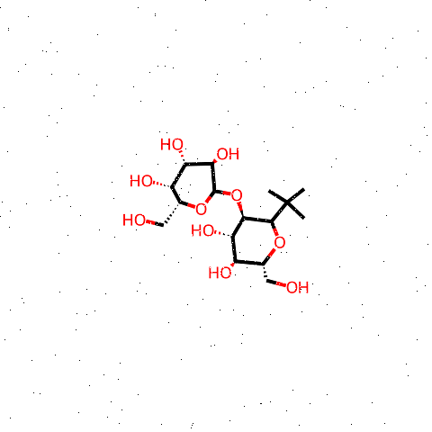 CC(C)(C)C1O[C@H](CO)[C@H](O)[C@H](O)[C@H]1OC1O[C@H](CO)[C@H](O)[C@H](O)[C@H]1O